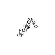 O=C(Nc1ccc(Nc2nc(-c3ccccc3)ccc2[N+](=O)[O-])cn1)c1ccc(-c2nsc(=O)[nH]2)cc1F